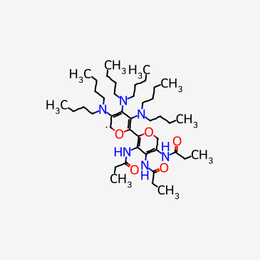 CCCCN(CCCC)C1=C(N(CCCC)CCCC)C(N(CCCC)CCCC)=C(C2=C(NC(=O)CC)C(NC(=O)CC)=C(NC(=O)CC)CO2)O[CH]1